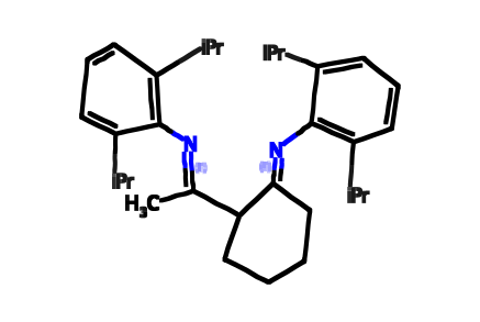 C/C(=N\c1c(C(C)C)cccc1C(C)C)C1CCCC/C1=N\c1c(C(C)C)cccc1C(C)C